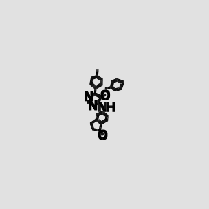 Cc1ccc(-c2ncnc(Nc3ccc4c(c3)CCC4=O)c2OCc2ccccc2)cc1